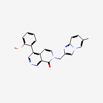 COc1ccccc1-c1cncc2c(=O)n(Cc3cn4cc(C)ccc4n3)ccc12